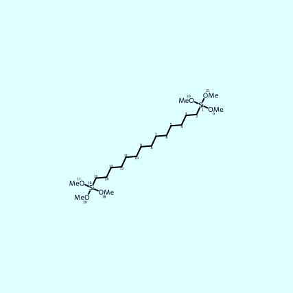 CO[Si](CCCCCCCCCCCCCC[Si](OC)(OC)OC)(OC)OC